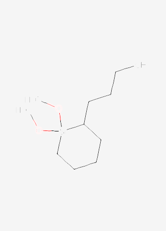 CCCCC1CCCC[Si]1(OC)OC